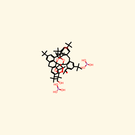 CC(C)(C)c1cc2c(c(C(C)(C)C)c1)C1OC(C(C)(C)CO)(OC3(c4c(cc(C(C)(C)C)cc4C(C)(C)C)Cc4cc(C(C)(C)C)cc(C(C)(C)C)c43)C13COC(C(C)(C)CO)OC3)c1c(cc(C(C)(C)C)cc1C(C)(C)C)C2.OP(O)O.OP(O)O